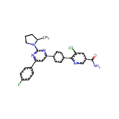 CC1CCCN1c1nc(-c2ccc(F)cc2)cc(-c2ccc(-c3ncc(C(N)=O)cc3Cl)cc2)n1